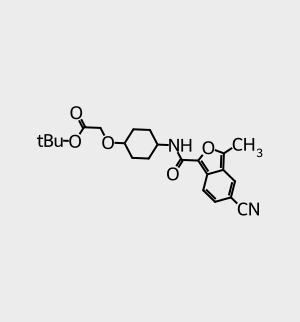 Cc1oc(C(=O)NC2CCC(OCC(=O)OC(C)(C)C)CC2)c2ccc(C#N)cc12